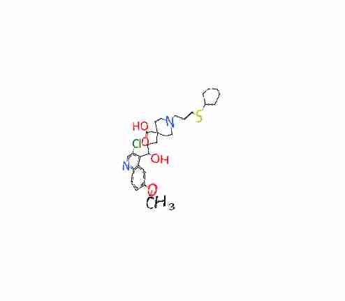 COc1ccc2ncc(Cl)c(C(O)CCC3(C(=O)O)CCN(CCCSC4CCCCC4)CC3)c2c1